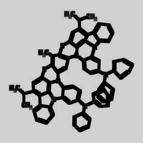 Cc1c2c(cc3c1Sc1cc(C(C)C)c4c5ccccc5n5c4c1B3c1ccc(N(c3ccccc3)c3ccccc3)cc1-5)B1c3ccc(N(c4ccccc4)c4ccccc4)cc3-n3c4ccccc4c4c(C(C)C)cc(c1c43)S2